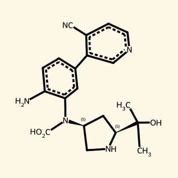 CC(C)(O)[C@@H]1C[C@H](N(C(=O)O)c2cc(-c3cnccc3C#N)ccc2N)CN1